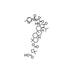 Cc1ccc(C(=O)NC2(C(=O)N[C@@]34CC[C@]5(C)[C@H](CC[C@@H]6[C@@]7(C)CC[C@H](OC(=O)[C@H]8C[C@@H](C(=O)O)C8(C)C)C(C)(C)C7CC[C@]65C)C3=C(C(C)C)C(=O)C4)CC2)cn1